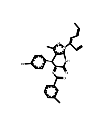 C=C/C(=C\C=C/C)n1nc(C)c2c1NC(=O)/C(=N\C(=O)c1cccc(C)c1)[C@H]2c1ccc(Br)cc1